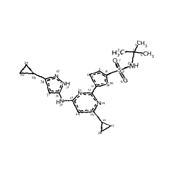 CC(C)(C)NS(=O)(=O)c1ccc(-c2nc(Nc3cc(C4CC4)n[nH]3)cc(C3CC3)n2)s1